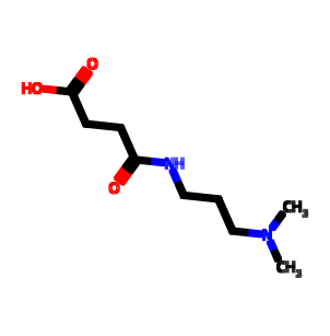 CN(C)CCCNC(=O)CCC(=O)O